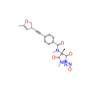 CNC(=O)[C@@](C)(C(=O)NN=O)N(C)C(=O)c1ccc(C#CC2C=C(C)OC2)cc1